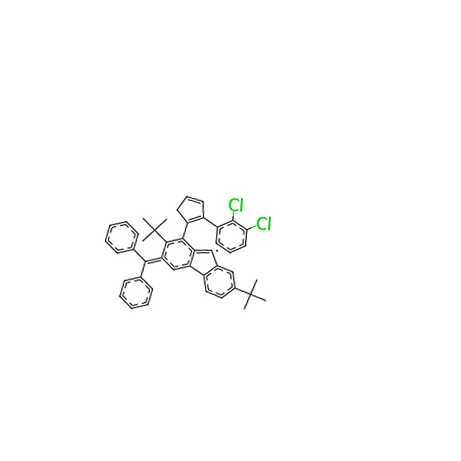 CC(C)(C)c1ccc2c(c1)[C]=c1c-2cc(=C(c2ccccc2)c2ccccc2)c(C(C)(C)C)c1C1=C(c2cccc(Cl)c2Cl)C=CC1